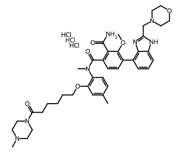 COc1c(-c2cccc3[nH]c(CN4CCOCC4)nc23)ccc(C(=O)N(C)c2ccc(C)cc2OCCCCCC(=O)N2CCN(C)CC2)c1C(N)=O.Cl.Cl.Cl